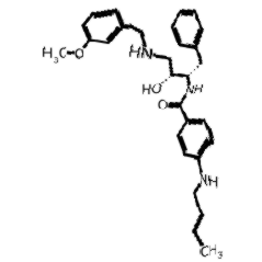 CCCCNc1ccc(C(=O)N[C@@H](Cc2ccccc2)[C@H](O)CNCc2cccc(OC)c2)cc1